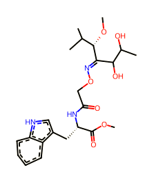 COC(=O)[C@H](Cc1c[nH]c2ccccc12)NC(=O)CO/N=C(\C(O)C(C)O)[C@@H](OC)C(C)C